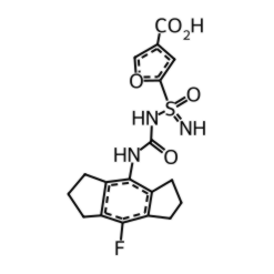 N=S(=O)(NC(=O)Nc1c2c(c(F)c3c1CCC3)CCC2)c1cc(C(=O)O)co1